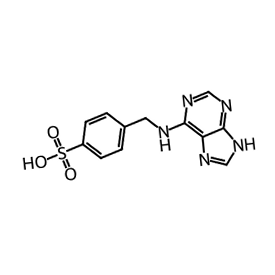 O=S(=O)(O)c1ccc(CNc2ncnc3[nH]cnc23)cc1